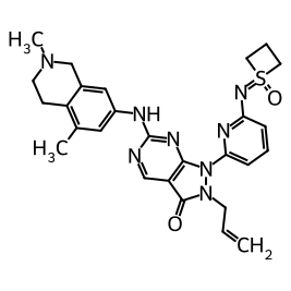 C=CCn1c(=O)c2cnc(Nc3cc(C)c4c(c3)CN(C)CC4)nc2n1-c1cccc(N=S2(=O)CCC2)n1